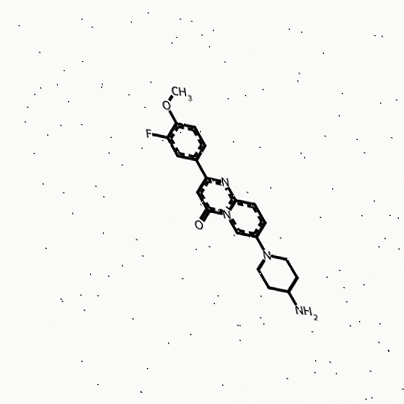 COc1ccc(-c2cc(=O)n3cc(N4CCC(N)CC4)ccc3n2)cc1F